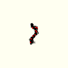 Nc1ncnc2c1c(-c1ccc(Oc3ccccc3)cc1)nn2C1CCN(C(=O)N2CCC(N3CCN(c4ccc5c(c4)CN(C4CCC(=O)NC4=O)C5=O)CC3)CC2)CC1